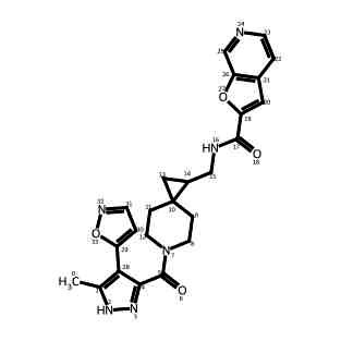 Cc1[nH]nc(C(=O)N2CCC3(CC2)CC3CNC(=O)c2cc3ccncc3o2)c1-c1ccno1